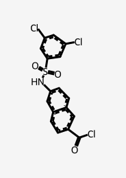 O=C(Cl)c1ccc2cc(NS(=O)(=O)c3cc(Cl)cc(Cl)c3)ccc2c1